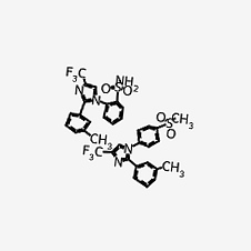 Cc1cccc(-c2nc(C(F)(F)F)cn2-c2ccc(S(C)(=O)=O)cc2)c1.Cc1cccc(-c2nc(C(F)(F)F)cn2-c2ccccc2S(N)(=O)=O)c1